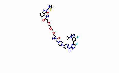 Cc1nc(NC(=O)c2ccccc2NC(=O)CCOCCOCCOCCNC(=O)CN2CCN(c3ccc(Nc4ncc(F)c(-c5cc(F)c6nc(C)n(C(C)C)c6c5)n4)nc3)CC2)sc1C